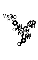 COC(=O)Nc1ccc(-c2nc(C(CC(=O)N3CCN4CCC[C@H]4C3C)NC(=O)/C=C/c3cc(Cl)ccc3-n3cnnn3)[nH]c2Cl)cc1